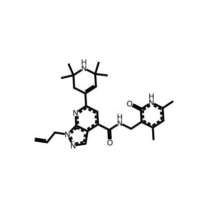 C=CCn1ncc2c(C(=O)NCc3c(C)cc(C)[nH]c3=O)cc(C3=CC(C)(C)NC(C)(C)C3)nc21